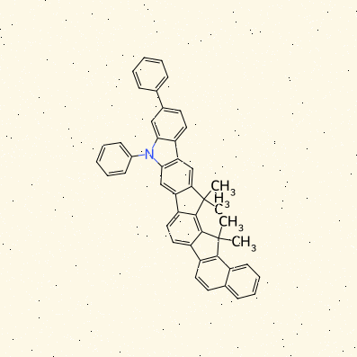 CC1(C)c2cc3c4ccc(-c5ccccc5)cc4n(-c4ccccc4)c3cc2-c2ccc3c(c21)C(C)(C)c1c-3ccc2ccccc12